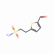 NS(=O)(=O)CCc1ccc(C=O)s1